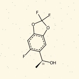 C[C@H](O)c1cc2c(cc1F)OC(F)(F)O2